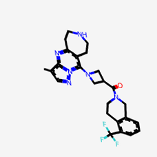 Cc1cnn2c(N3CC(C(=O)N4CCc5c(cccc5C(F)(F)F)C4)C3)c3c(nc12)CCNCC3